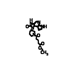 CCOC(=O)CCCC(=O)N1CCC[C@@H](n2c(=O)[nH]c3cnc4[nH]ccc4c32)C1